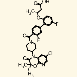 C[C@H](CC(=O)O)Oc1ccc(F)cc1-c1ccc(C(=O)N2CCC(N3C(=O)C(C)(C)Oc4ncc(Cl)cc43)CC2)c(F)c1